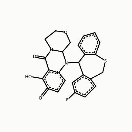 O=C1c2c(O)c(=O)ccn2N(C2c3cc(F)ccc3CSc3ccccc32)C2COCCN12